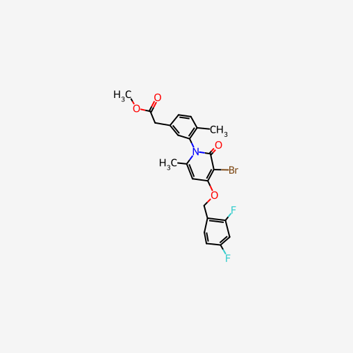 COC(=O)Cc1ccc(C)c(-n2c(C)cc(OCc3ccc(F)cc3F)c(Br)c2=O)c1